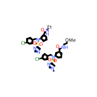 CCNC(=O)c1cccc(N(Cc2ccc(Cl)cc2)S(=O)(=O)c2cn(C)cn2)c1.COCCNC(=O)c1cccc(N(Cc2ccc(Cl)cc2)S(=O)(=O)c2cn(C)cn2)c1